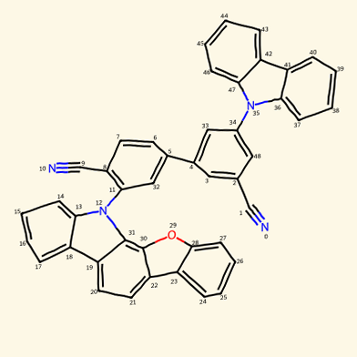 N#Cc1cc(-c2ccc(C#N)c(-n3c4ccccc4c4ccc5c6ccccc6oc5c43)c2)cc(-n2c3ccccc3c3ccccc32)c1